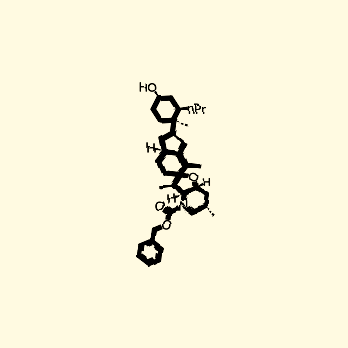 CCC[C@@H]1C[C@@H](O)CC[C@]1(C)[C@H]1CC2=C(C)C3(CC[C@H]2C1)O[C@@H]1C[C@H](C)CN(C(=O)OCc2ccccc2)[C@H]1[C@H]3C